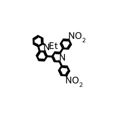 CCn1c2ccccc2c2cccc(-c3cc(-c4ccc([N+](=O)[O-])cc4)nc(-c4ccc([N+](=O)[O-])cc4)c3)c21